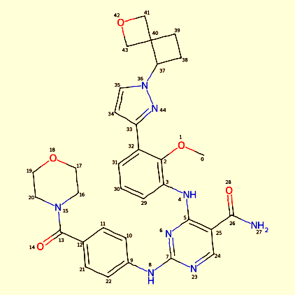 COc1c(Nc2nc(Nc3ccc(C(=O)N4CCOCC4)cc3)ncc2C(N)=O)cccc1-c1ccn(C2CCC23COC3)n1